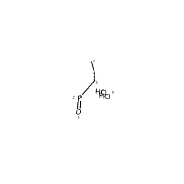 CCP=O.Cl.Cl